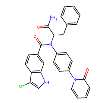 NC(=O)[C@H](Cc1ccccc1)N(C(=O)c1ccc2c(Cl)c[nH]c2c1)c1ccc(-n2ccccc2=O)cc1